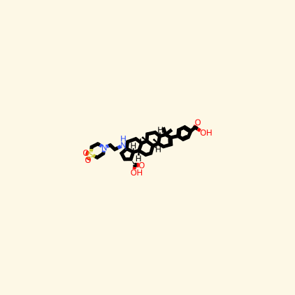 CC1(C)C(c2ccc(C(=O)O)cc2)=CC[C@]2(C)[C@H]3CC[C@@H]4[C@H]5[C@H](C(=O)O)CC[C@]5(NCCN5CCS(=O)(=O)CC5)CC[C@@]4(C)[C@]3(C)CC[C@@H]12